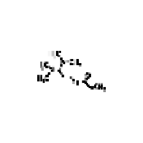 C=CC(=O)OCCC(N(C)C)N(C)C